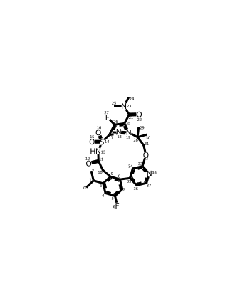 CC(C)c1cc(F)cc2c1CC(=O)NS(=O)(=O)c1nn(c(C(=O)N(C)C)c1F)C(C)(C)COc1cc-2ccn1